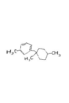 Cc1cccc(C2(C)CCC(C)CC2)c1